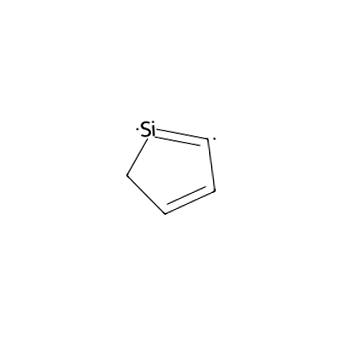 [C]1=[Si]CC=C1